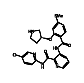 CSc1ccc(C(=O)Nc2cccnc2C(=O)Nc2ccc(Cl)cn2)c(O[C@H]2CCNC2)c1